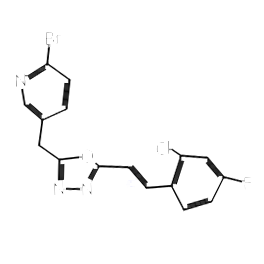 Fc1ccc(/C=C/c2nnc(Cc3ccc(Br)nc3)o2)c(Cl)c1